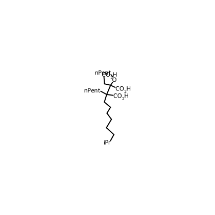 CCCCCOC(CC(=O)O)(C(=O)O)C(CCCCC)(CCCCCCC(C)C)C(=O)O